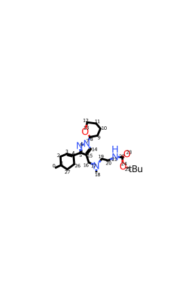 CC1CC=C(c2nn(C3CCCCO3)cc2CN(C)CCNC(=O)OC(C)(C)C)CC1